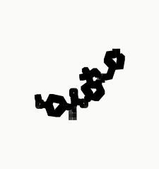 COc1ccc(NC(=O)Oc2ccc3c(c2)C(C)(C)CN3Cc2ccncc2)cc1